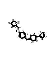 c1csc(-c2ccc(Cc3ccc(OCC4CCCN4)cc3)cc2)c1